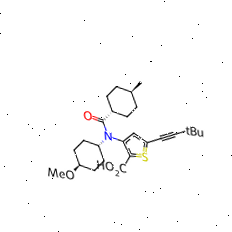 CO[C@H]1CC[C@H](N(c2cc(C#CC(C)(C)C)sc2C(=O)O)C(=O)[C@H]2CC[C@H](C)CC2)CC1